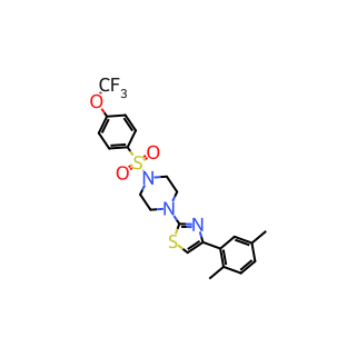 Cc1ccc(C)c(-c2csc(N3CCN(S(=O)(=O)c4ccc(OC(F)(F)F)cc4)CC3)n2)c1